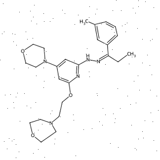 CCC(=NNc1cc(N2CCOCC2)cc(OCCN2CCOCC2)n1)c1cccc(C)c1